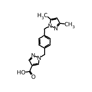 Cc1cc(C)n(Cc2ccc(Cn3cc(C(=O)O)cn3)cc2)n1